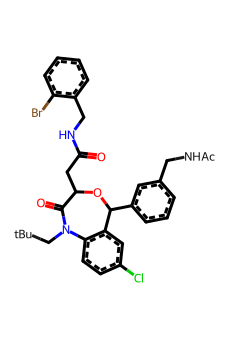 CC(=O)NCc1cccc(C2OC(CC(=O)NCc3ccccc3Br)C(=O)N(CC(C)(C)C)c3ccc(Cl)cc32)c1